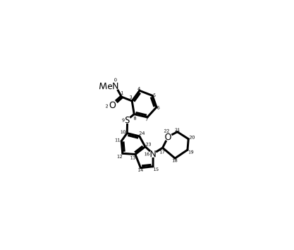 CNC(=O)c1ccccc1Sc1ccc2ccn(C3CCCCO3)c2c1